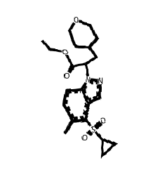 CCOC(=O)C(CC1CCOCC1)n1ncc2c(S(=O)(=O)C3CC3)c(C)ccc21